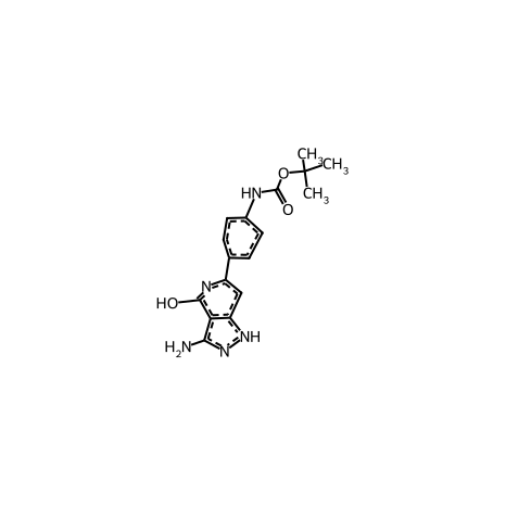 CC(C)(C)OC(=O)Nc1ccc(-c2cc3[nH]nc(N)c3c(O)n2)cc1